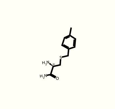 Cc1ccc(CSC[C@H](N)C(N)=O)cc1